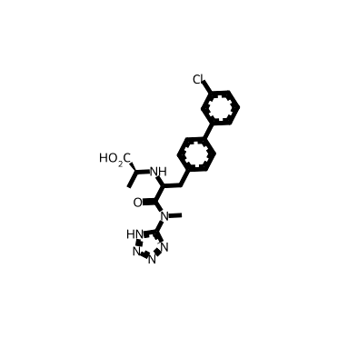 C[C@H](NC(Cc1ccc(-c2cccc(Cl)c2)cc1)C(=O)N(C)c1nnn[nH]1)C(=O)O